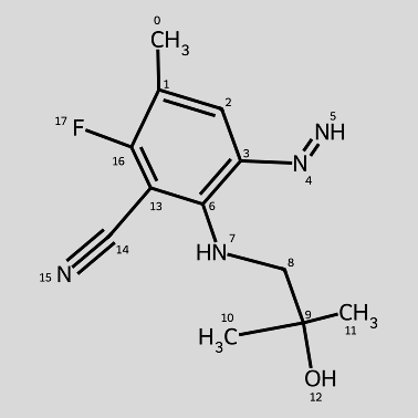 Cc1cc(N=N)c(NCC(C)(C)O)c(C#N)c1F